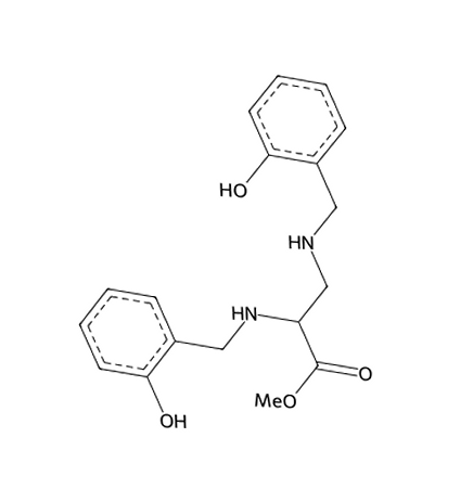 COC(=O)C(CNCc1ccccc1O)NCc1ccccc1O